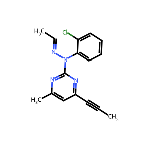 CC#Cc1cc(C)nc(N(N=CC)c2ccccc2Cl)n1